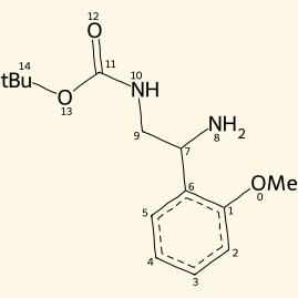 COc1ccccc1C(N)CNC(=O)OC(C)(C)C